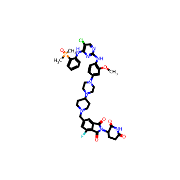 COc1cc(N2CCN(C3CCN(Cc4cc(F)c5c(c4)C(=O)N(C4CCC(=O)NC4=O)C5=O)CC3)CC2)ccc1Nc1ncc(Cl)c(Nc2ccccc2P(C)(C)=O)n1